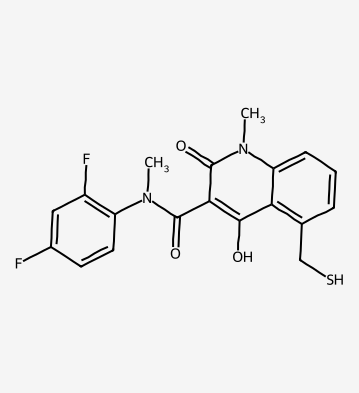 CN(C(=O)c1c(O)c2c(CS)cccc2n(C)c1=O)c1ccc(F)cc1F